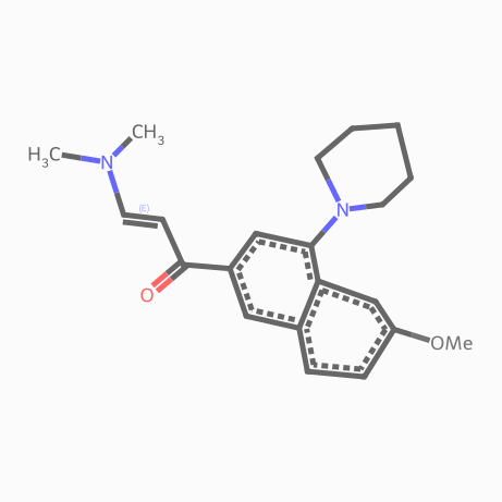 COc1ccc2cc(C(=O)/C=C/N(C)C)cc(N3CCCCC3)c2c1